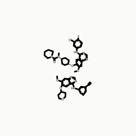 C#Cc1cccc(Nc2ncnc3cc(OC)c(OC4CCOCC4)cc23)c1.COc1cc2ncnc(Nc3ccc(F)c(Cl)c3)c2cc1O[C@H]1CC[C@@H](N(C)C(=O)N2CCCCC2)CC1